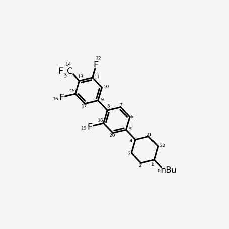 CCCCC1CCC(c2ccc(-c3cc(F)c(C(F)(F)F)c(F)c3)c(F)c2)CC1